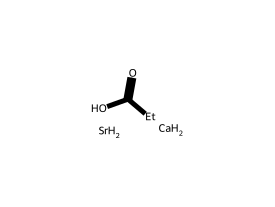 CCC(=O)O.[CaH2].[SrH2]